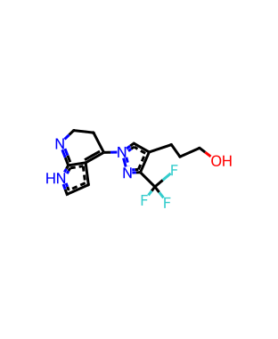 OCCCc1cn(C2=c3cc[nH]c3=NCC2)nc1C(F)(F)F